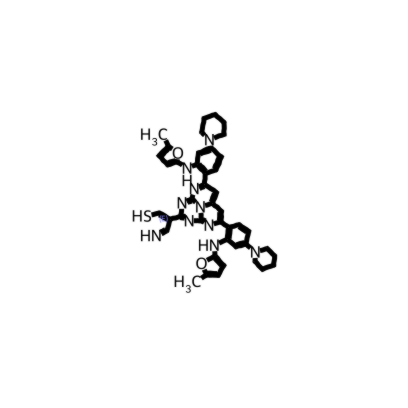 Cc1ccc(Nc2cc(N3CCCCC3)ccc2C2=CC3=CC(c4ccc(N5CCCCC5)cc4Nc4ccc(C)o4)=NC4=NC(/C(C=N)=C/S)=NC(=N2)N34)o1